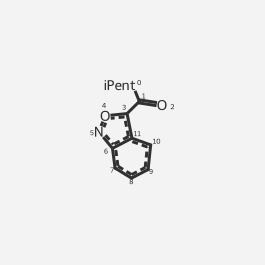 CCCC(C)C(=O)c1onc2ccccc12